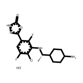 C[C@H](Nc1c(F)c(-c2n[nH]c(=O)o2)cc(F)c1Cl)C1CCC(N)CC1.Cl